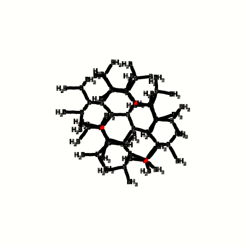 BBB(B)B(B(B)B)B(B(B(B(B)B)B(B)B)B(B(B)B)B(B)B)B(B(B(B(B)B)B(B)B)B(B(B)B)B(B)B)B(B(B(B(B)B)B(B)B)B(B(B)B)B(B)B)B(B(B(B)B)B(B)B)B(B(B)B)B(B)B